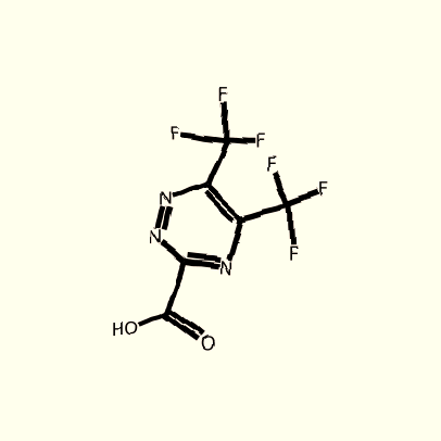 O=C(O)c1nnc(C(F)(F)F)c(C(F)(F)F)n1